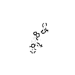 CC(C)[Si](Oc1cc(-n2nc(C(C)(C)C)cc2NC(=O)N[C@H]2CC[C@@H](Oc3ccc4nnc(N5CCCOCC5)n4c3)c3ccccc32)ccc1Cl)(C(C)C)C(C)C